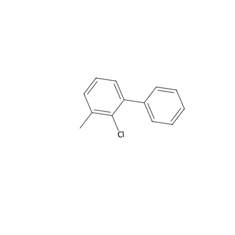 Cc1cccc(-c2ccccc2)c1Cl